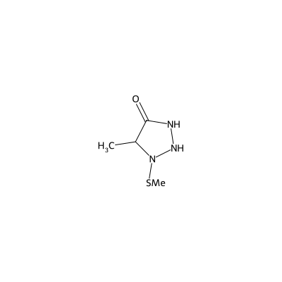 CSN1NNC(=O)C1C